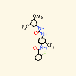 COc1cc(NC(=O)Nc2ccc(NC(=O)c3ccccc3F)c(C(F)(F)F)c2)cc(C(F)(F)F)c1